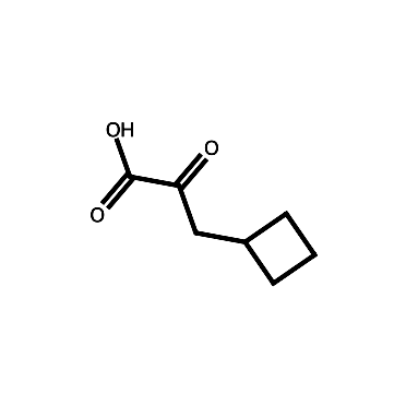 O=C(O)C(=O)CC1CCC1